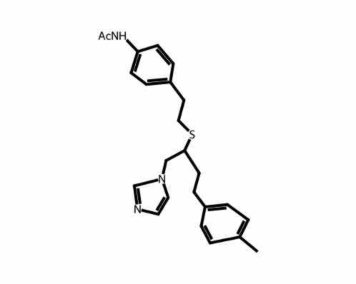 CC(=O)Nc1ccc(CCSC(CCc2ccc(C)cc2)Cn2ccnc2)cc1